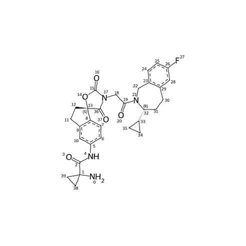 NC1(C(=O)Nc2ccc3c(c2)CC[C@]32OC(=O)N(CC(=O)N3Cc4ccc(F)cc4CC[C@@H]3C3CC3)C2=O)CC1